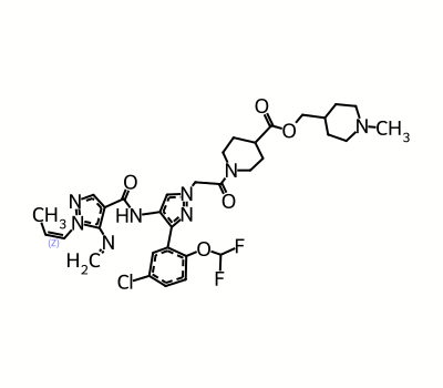 C=Nc1c(C(=O)Nc2cn(CC(=O)N3CCC(C(=O)OCC4CCN(C)CC4)CC3)nc2-c2cc(Cl)ccc2OC(F)F)cnn1/C=C\C